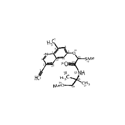 C#Cc1cnc2c(C)cc(OC(SC)C(=O)NC(C)(C)COC)cc2c1